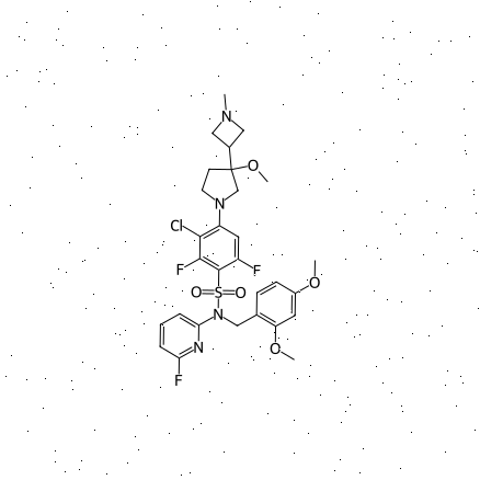 COc1ccc(CN(c2cccc(F)n2)S(=O)(=O)c2c(F)cc(N3CCC(OC)(C4CN(C)C4)C3)c(Cl)c2F)c(OC)c1